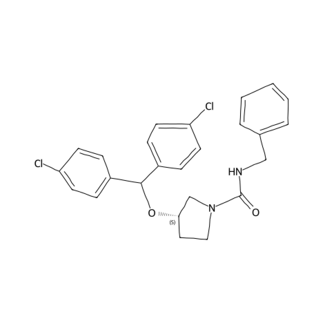 O=C(NCc1ccccc1)N1CC[C@H](OC(c2ccc(Cl)cc2)c2ccc(Cl)cc2)C1